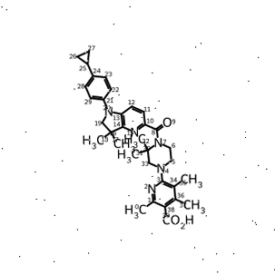 Cc1nc(N2CCN(C(=O)c3ccc4c(n3)C(C)(C)CN4c3ccc(C4CC4)cc3)C(C)(C)C2)c(C)c(C)c1C(=O)O